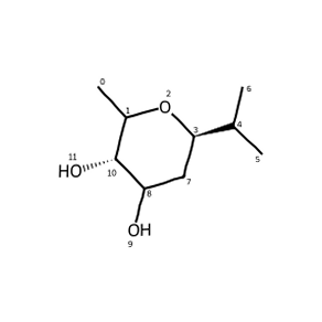 CC1O[C@@H](C(C)C)CC(O)[C@@H]1O